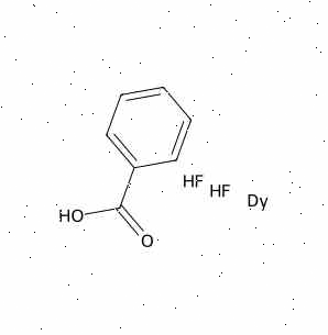 F.F.O=C(O)c1ccccc1.[Dy]